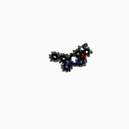 CC(C)c1cccc2oc3c4c(ccc3c12)CCC1c2ccc(-c3ccccc3)cc2-c2cccc[n+]2C1CC[n+]1ccccc1-4